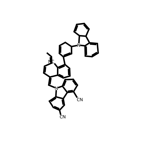 C\C=C/C=C\C(=C\n1c2ccc(C#N)cc2c2c(C#N)cccc21)c1cccc(C2=CC(N3c4ccccc4C4C=CC=CC43)CC=C2)c1C#N